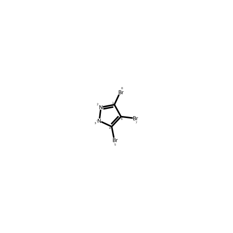 BrC1=N[N]C(Br)=C1Br